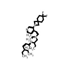 C=CN(/C=C\c1c(C)cncc1N1CC2(CCC(F)(F)CC2)C1)CC(CC)/N=C(C)/C=C\C(CC)CC